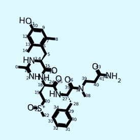 CC(=N)N[C@@H](Cc1c(C)cc(O)cc1C)C(=O)N[C@H](CC[S+](C)[O-])C(=O)N[C@@H](Cc1ccccc1)C(=O)N(C)CCC(N)=O